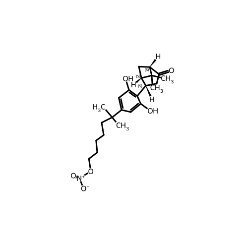 CC(C)(CCCCCO[N+](=O)[O-])c1cc(O)c([C@H]2CC(=O)[C@H]3C[C@@H]2C3(C)C)c(O)c1